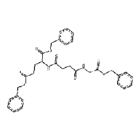 O=C(CCC(=O)NC(CCC(=O)OCc1ccccc1)C(=O)OCc1ccccc1)NCC(=O)OCc1ccccc1